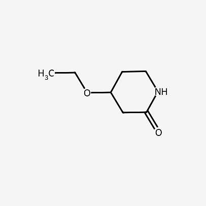 CCOC1CCNC(=O)C1